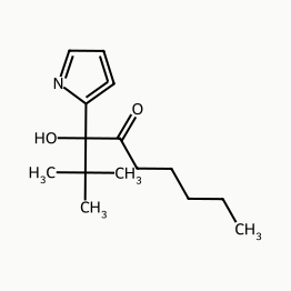 CCCCCC(=O)C(O)(C1=C=CC=N1)C(C)(C)C